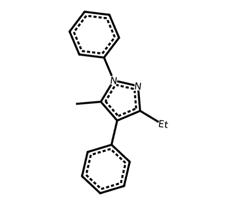 CCc1nn(-c2ccccc2)c(C)c1-c1ccccc1